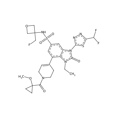 CCn1c(=O)n(-c2nnc(C(F)F)s2)c2cc(S(=O)(=O)NC3(CF)COC3)cc(C3=CCN(C(=O)C4(OC)CC4)CC3)c21